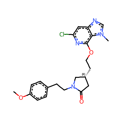 COc1ccc(CCN2C[C@H](CCOc3nc(Cl)cc4ncn(C)c34)CC2=O)cc1